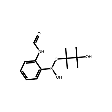 CC(C)(O)C(C)(C)OB(O)c1ccccc1NC=O